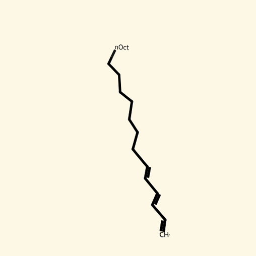 [CH]=C/C=C/C=C/CCCCCCCCCCCCCCC